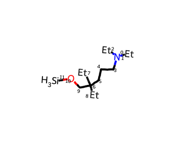 CCN(CC)CCCC(CC)(CC)CO[SiH3]